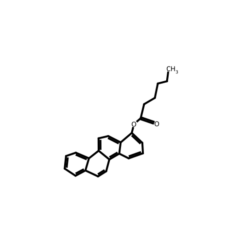 CCCCCC(=O)Oc1cccc2c1ccc1c3ccccc3ccc21